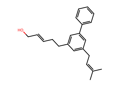 CC(C)=CCc1cc(CCC=CCO)cc(-c2ccccc2)c1